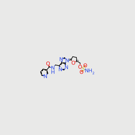 NS(=O)(=O)OC[C@@H]1CC[C@H](n2cnc3c(CNC(=O)c4cccnc4)ncnc32)O1